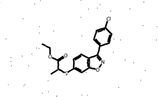 CCOC(=O)C(C)Sc1ccc2c(-c3ccc(Cl)cc3)noc2c1